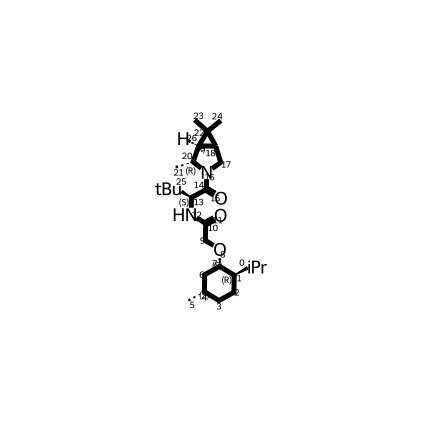 CC(C)[C@H]1CC[C@H](C)C[C@@H]1OCC(=O)N[C@H](C(=O)N1CC2[C@@H]([C@H]1C)C2(C)C)C(C)(C)C